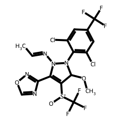 CC=NN1C(c2ncon2)=C([S+]([O-])C(F)(F)F)C(OC)N1c1c(Cl)cc(C(F)(F)F)cc1Cl